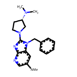 CNc1cnc2nc(N3CC[C@H](N(C)C)C3)n(Cc3ccccc3)c2c1